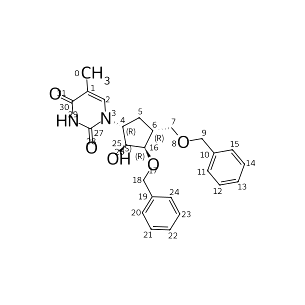 Cc1cn([C@@H]2C[C@H](COCc3ccccc3)[C@@H](OCc3ccccc3)[C@H]2O)c(=O)[nH]c1=O